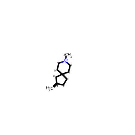 C=C1CCC2(CCN(C)CC2)C1